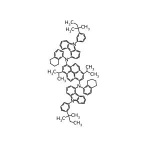 CCC(C)(C)c1cccc(-n2c3ccccc3c3c(N(c4cccc5c4CCCC5)c4cc(C(C)C)c5ccc6c(N(c7cccc8c7CCCC8)c7cccc8c7c7ccccc7n8-c7cccc(C(C)(C)CC)c7)cc(C(C)C)c7ccc4c5c76)cccc32)c1